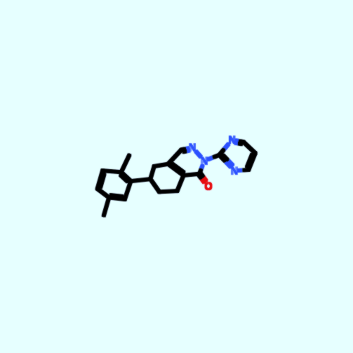 Cc1ccc(C)c(C2CCc3c(cnn(-c4ncccn4)c3=O)C2)c1